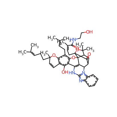 CC(C)=CCCC1(C)C=Cc2c(O)c3c(c(CC=C(C)C)c2O1)OC12C4=C3Nc3nc5ccccc5n3C4C3CC1C(C)(C)OC2(C/C=C(/C)C(=O)NCCO)C3=O